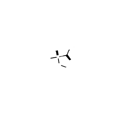 CCOP(=O)(CC)C(=O)OC